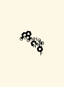 O=C(Nc1ccnc(N(c2ccc(F)cc2)[SH](=O)=O)c1)c1cccc2ccc(=O)oc12